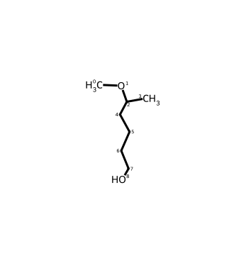 COC(C)CCCCO